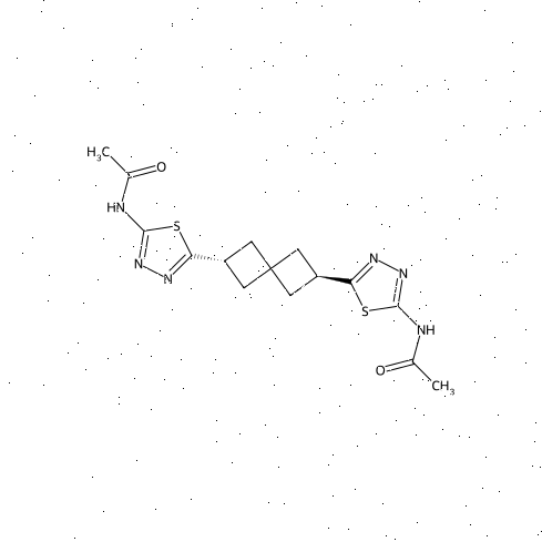 CC(=O)Nc1nnc([C@H]2CC3(C[C@H](c4nnc(NC(C)=O)s4)C3)C2)s1